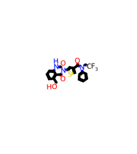 O=C(c1csc(-n2c(=O)[nH]c3cccc(CO)c3c2=O)c1)N(CC(F)(F)F)c1ccccc1